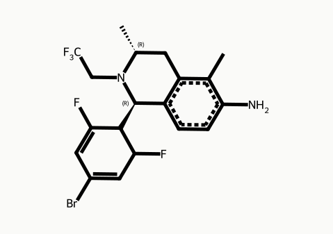 Cc1c(N)ccc2c1C[C@@H](C)N(CC(F)(F)F)[C@@H]2C1C(F)=CC(Br)=CC1F